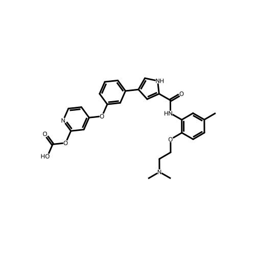 Cc1ccc(OCCN(C)C)c(NC(=O)c2cc(-c3cccc(Oc4ccnc(OC(=O)O)c4)c3)c[nH]2)c1